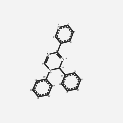 C1=NC(c2cccnc2)=NC(c2ccccc2)N1c1ccccc1